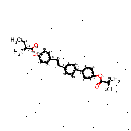 C=C(C)C(=O)Oc1ccc(-c2ccc(/C=C/c3ccc(OC(=O)C(=C)CC)cc3)cc2)cc1